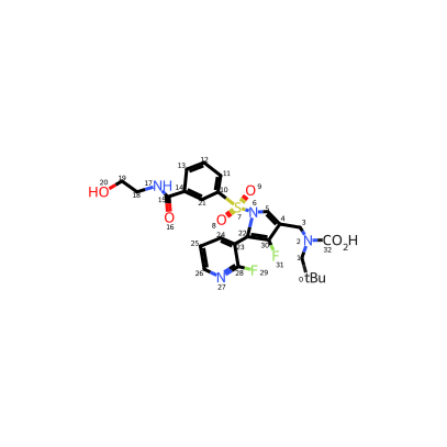 CC(C)(C)CN(Cc1cn(S(=O)(=O)c2cccc(C(=O)NCCO)c2)c(-c2cccnc2F)c1F)C(=O)O